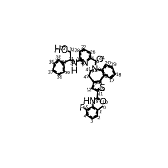 Cc1cccc(F)c1NC(=O)c1cc2c(s1)-c1ccccc1N(C(=O)c1cccc(N[C@H](CO)c3ccccc3)n1)CC2